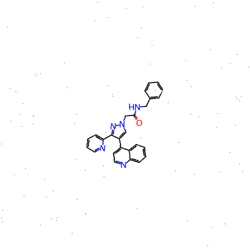 O=C(Cn1cc(-c2ccnc3ccccc23)c(-c2ccccn2)n1)NCc1ccccc1